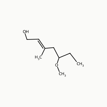 CCC(C/C(C)=C/CO)OC